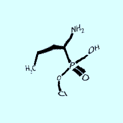 CCC(N)P(=O)(O)OCl